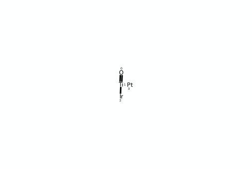 [O]=[Ti][Ir].[Pt]